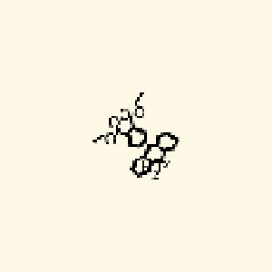 CCOC(=O)c1ccccc1C(=O)OCC.CP.c1ccc2cc3ccccc3cc2c1